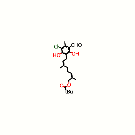 CC(=CCc1c(O)c(Cl)c(C)c(C=O)c1O)CCC=C(C)COC(=O)C(C)(C)C